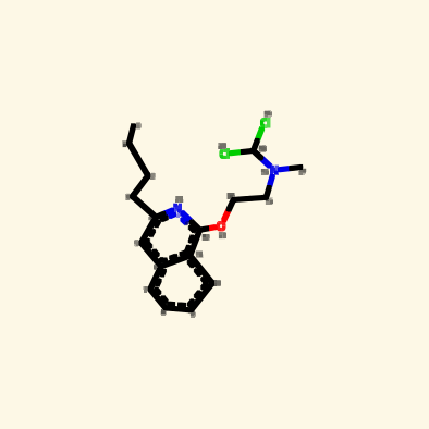 CCCCc1cc2ccccc2c(OCCN(C)C(Cl)Cl)n1